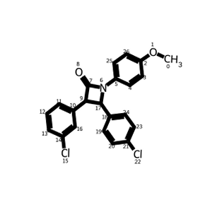 COc1ccc(N2C(=O)C(c3cccc(Cl)c3)C2c2ccc(Cl)cc2)cc1